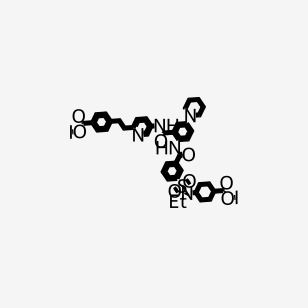 CCN(C1CCC(C(=O)OI)CC1)S(=O)(=O)c1cccc(C(=O)Nc2ccc(N3CCCCC3)cc2C(=O)Nc2ccc(CCc3ccc(C(=O)OI)cc3)nc2)c1